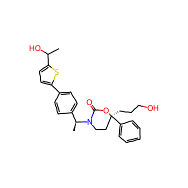 CC(O)c1ccc(-c2ccc([C@H](C)N3CC[C@](CCCO)(c4ccccc4)OC3=O)cc2)s1